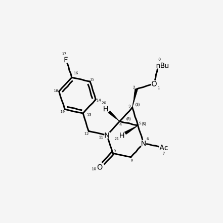 CCCCOC[C@@H]1[C@@H]2[C@H]1N(C(C)=O)CC(=O)N2Cc1ccc(F)cc1